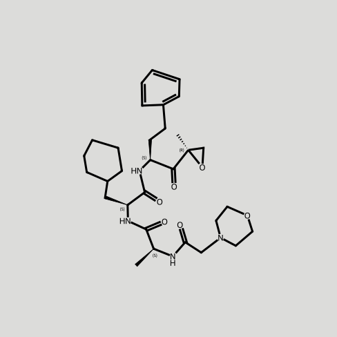 C[C@H](NC(=O)CN1CCOCC1)C(=O)N[C@@H](CC1CCCCC1)C(=O)N[C@@H](CCc1ccccc1)C(=O)[C@@]1(C)CO1